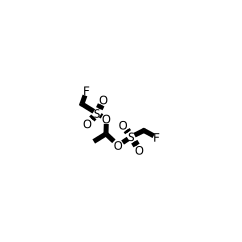 CC(OS(=O)(=O)CF)OS(=O)(=O)CF